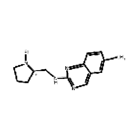 CCN1CCC[C@@H]1CNc1ncc2cc(C)ccc2n1